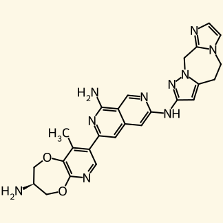 Cc1c(-c2cc3cc(Nc4cc5n(n4)Cc4nccn4CC5)ncc3c(N)n2)cnc2c1OC[C@H](N)CO2